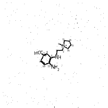 C[N+]1(CCNc2cc(O)ccc2N)CCCC1